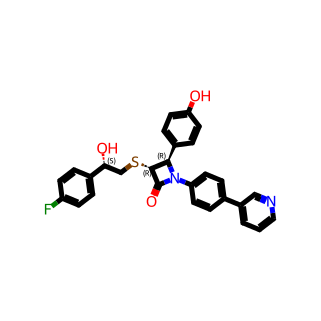 O=C1[C@H](SC[C@@H](O)c2ccc(F)cc2)[C@@H](c2ccc(O)cc2)N1c1ccc(-c2cccnc2)cc1